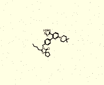 CCCCC1=NC2(CCCC2)C(=O)N1Cc1ccc(-c2cc(N3CCC(C)(C)CC3)ccc2-c2nn[nH]n2)cc1